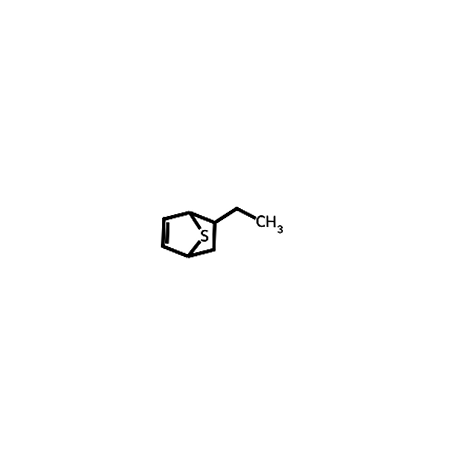 CCC1CC2C=CC1S2